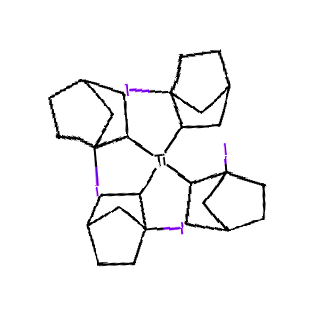 IC12CCC(C[CH]1[Ti]([CH]1CC3CCC1(I)C3)([CH]1CC3CCC1(I)C3)[CH]1CC3CCC1(I)C3)C2